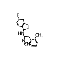 Cc1ccccc1C/C(=N\C#N)NC1CCc2cc(F)ccc21